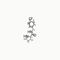 O=C(NCc1ccc(C(F)(F)F)nc1)[C@H]1CCCN1